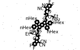 [C-]#[N+]/C(C#N)=C1/C(=C/c2cc(OCC(CC)CCCC)c(-c3cc4c(s3)-c3cc5c(cc3C4(c3ccc(CCCCCC)cc3)c3ccc(CCCCCC)cc3)-c3sc(-c4sc(/C=C6\C(=O)c7cc(F)c(F)cc7C6=C(C#N)C#N)cc4OCC(CC)CCCC)cc3C5(c3ccc(CCCCCC)cc3)c3ccc(CCCCCC)cc3)s2)C(=O)c2cc(F)c(F)cc21